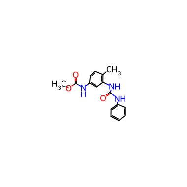 COC(=O)Nc1ccc(C)c(NC(=O)Nc2ccccc2)c1